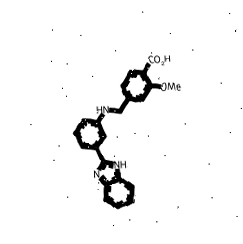 COc1cc(CNc2cccc(-c3nc4ccccc4[nH]3)c2)ccc1C(=O)O